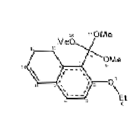 CCOc1ccc2c(c1C(OC)(OC)OC)CCC=C2